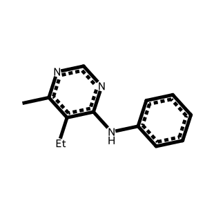 CCc1c(C)ncnc1Nc1ccccc1